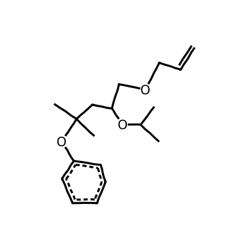 C=CCOCC(CC(C)(C)Oc1ccccc1)OC(C)C